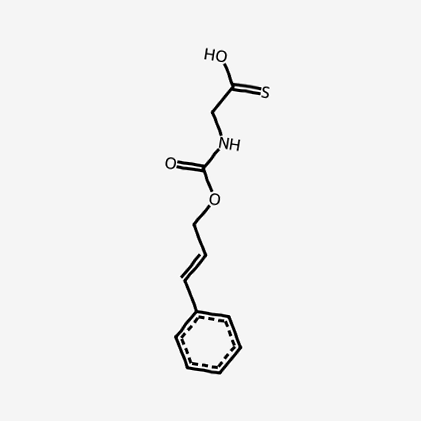 O=C(NCC(O)=S)OCC=Cc1ccccc1